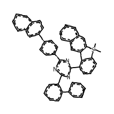 C[Si]1(C)c2cc3ccccc3cc2-c2c(-c3nc(-c4ccc(-c5ccc6ccccc6c5)cc4)nc(-c4ccccc4-c4ccccc4)n3)cccc21